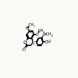 COc1cc(OC)c2c(c1)OC(=O)C[C@H]2c1ccc(O)c(OC)c1